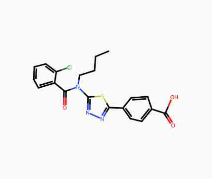 CCCCN(C(=O)c1ccccc1Cl)c1nnc(-c2ccc(C(=O)O)cc2)s1